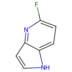 Fc1ccc2[nH][c]cc2n1